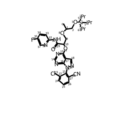 CC(CO[Si](C(C)C)(C(C)C)C(C)C)OCC(Oc1ncnc2c1cnn2-c1c(Cl)cccc1C#N)C(=O)Nc1ccc(F)cn1